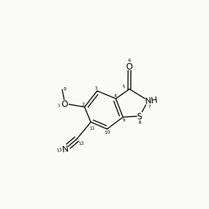 COc1cc2c(=O)[nH]sc2cc1C#N